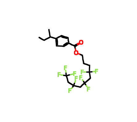 CCC(C)c1ccc(C(=O)OCCCC(F)(F)CC(F)(F)CC(F)(F)CC(F)(F)F)cc1